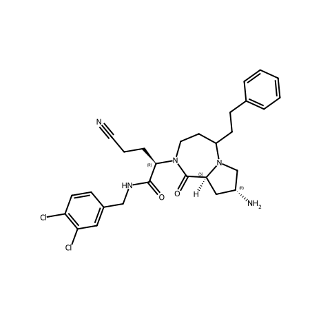 N#CCC[C@H](C(=O)NCc1ccc(Cl)c(Cl)c1)N1CCC(CCc2ccccc2)N2C[C@H](N)C[C@H]2C1=O